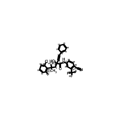 CC(C)(CC(O)(C#Cc1ccccc1)C(=O)Nc1ccc(C#N)c(C(F)(F)F)c1)c1c(F)cccc1Cl